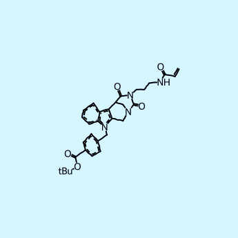 C=CC(=O)NCCCN1C(=O)C2CN(Cc3c2c2ccccc2n3Cc2ccc(C(=O)OC(C)(C)C)cc2)C1=O